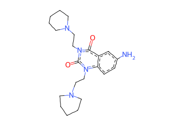 Nc1ccc2c(c1)c(=O)n(CCN1CCCCC1)c(=O)n2CCN1CCCCC1